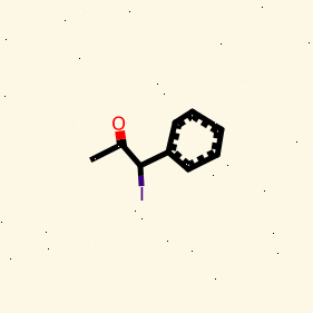 CC(=O)C(I)c1ccccc1